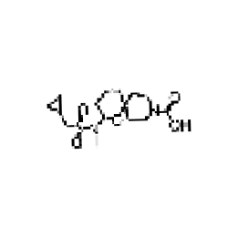 O=C(O)N1CCC2(CCCC(NS(=O)(=O)CC3CC3)O2)CC1